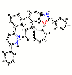 c1ccc(-c2ccc(-c3ccccc3-c3ccc4ccccc4c3-c3cccc4nc(-c5ccccc5)oc34)nn2)cc1